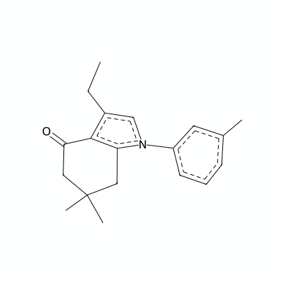 CCc1cn(-c2cccc(C)c2)c2c1C(=O)CC(C)(C)C2